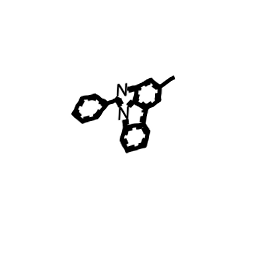 Cc1cc2nc(-c3ccccc3)n3c4ccccc4c(c1)c23